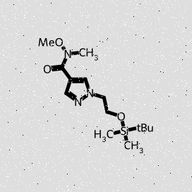 CON(C)C(=O)c1cnn(CCO[Si](C)(C)C(C)(C)C)c1